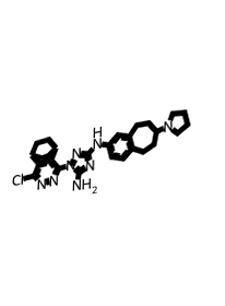 Nc1nc(Nc2ccc3c(c2)CCC(N2CCCC2)CC3)nn1-c1nnc(Cl)c2c1C1CCC2CC1